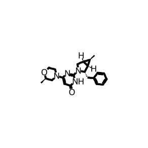 C[C@@H]1[C@@H]2CN(c3nc(N4CCO[C@H](C)C4)cc(=O)[nH]3)[C@@H](Cc3ccccc3)[C@H]12